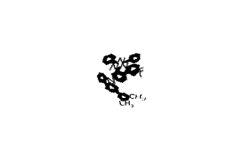 Cc1cc(C)cc(-c2ccc3c4ccccc4n(-c4ccc(-c5cccc(F)c5)c(-c5nc(-c6ccccc6)nc(-c6ccccc6)n5)c4)c3c2)c1